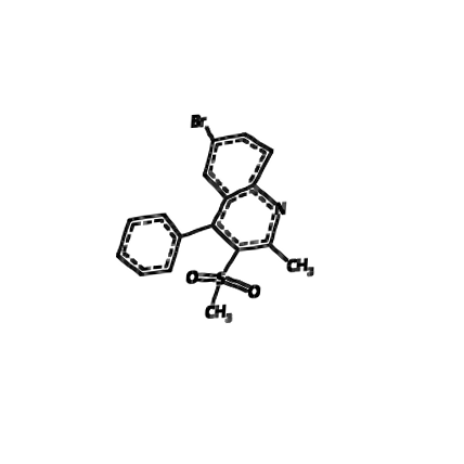 Cc1nc2ccc(Br)cc2c(-c2ccccc2)c1S(C)(=O)=O